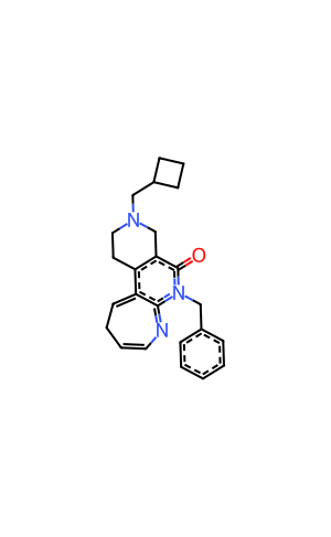 O=c1c2c(c3c(n1Cc1ccccc1)=NC=CCC=3)CCN(CC1CCC1)C2